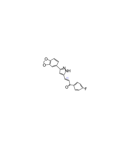 O=C(/C=C/c1cc(-c2ccc3c(c2)OCO3)n[nH]1)c1ccc(F)cc1